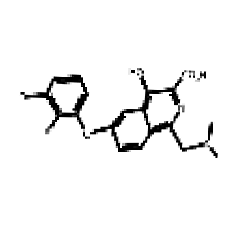 CN(C)Cc1nc(C(=O)O)c(O)c2cc(Oc3cccc(F)c3F)ccc12